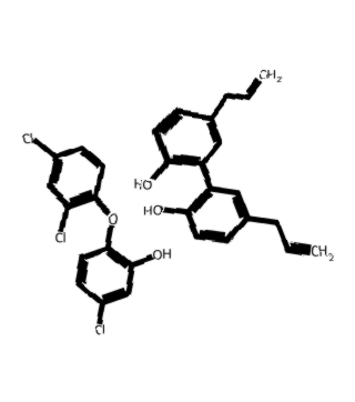 C=CCc1ccc(O)c(-c2cc(CC=C)ccc2O)c1.Oc1cc(Cl)ccc1Oc1ccc(Cl)cc1Cl